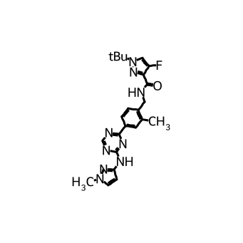 Cc1cc(-c2ncnc(Nc3ccn(C)n3)n2)ccc1CNC(=O)c1nn(C(C)(C)C)cc1F